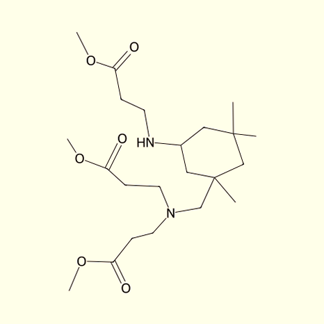 COC(=O)CCNC1CC(C)(C)CC(C)(CN(CCC(=O)OC)CCC(=O)OC)C1